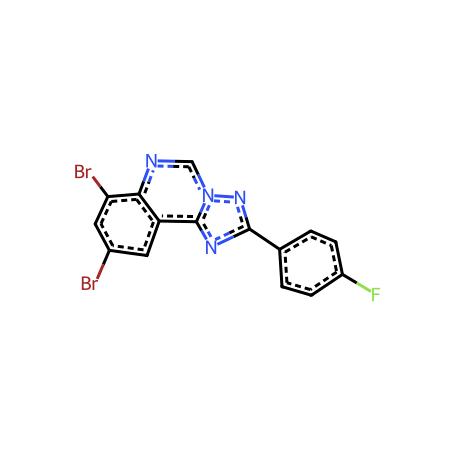 Fc1ccc(-c2nc3c4cc(Br)cc(Br)c4ncn3n2)cc1